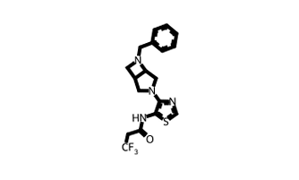 O=C(CC(F)(F)F)Nc1scnc1N1CC2CN(Cc3ccccc3)C2C1